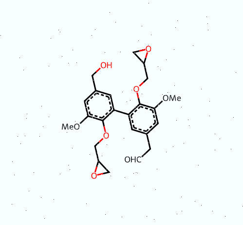 COc1cc(CO)cc(-c2cc(CC=O)cc(OC)c2OCC2CO2)c1OCC1CO1